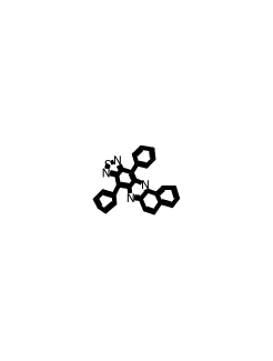 c1ccc(-c2c3nsnc3c(-c3ccccc3)c3nc4c(ccc5ccccc54)nc23)cc1